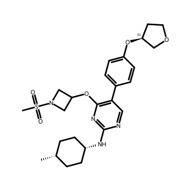 CS(=O)(=O)N1CC(Oc2nc(N[C@H]3CC[C@@H](C)CC3)ncc2-c2ccc(O[C@H]3CCOC3)cc2)C1